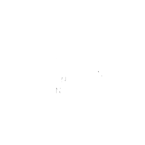 CCc1cnn(C2CCN(C)CC2)c1C(C)C